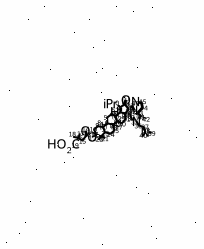 CC(C)C1=C2[C@H]3CCC4[C@@]5(C)CC[C@H](OC(=O)CC(C)(C)C(=O)O)C(C)(C)C5CC[C@@]4(C)[C@]3(C)CC[C@@]2(CCN(CCN(C)C)[C@H](C)c2ccncn2)CC1=O